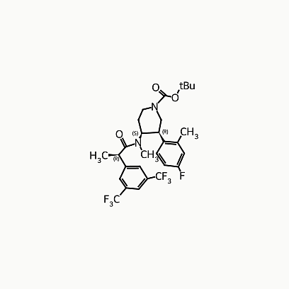 Cc1cc(F)ccc1[C@@H]1CN(C(=O)OC(C)(C)C)CC[C@@H]1N(C)C(=O)[C@H](C)c1cc(C(F)(F)F)cc(C(F)(F)F)c1